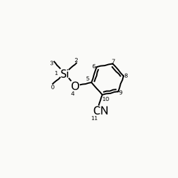 C[Si](C)(C)Oc1ccccc1C#N